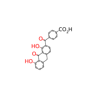 O=C(O)c1ccc(C(=O)c2ccc3c(c2O)C(=O)c2c(O)cccc2C3)cc1